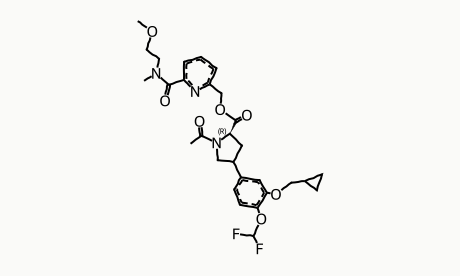 COCCN(C)C(=O)c1cccc(COC(=O)[C@H]2CC(c3ccc(OC(F)F)c(OCC4CC4)c3)CN2C(C)=O)n1